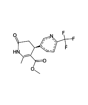 COC(=O)C1=C(C)NC(=O)C[C@H]1c1ccc(C(F)(F)F)nc1